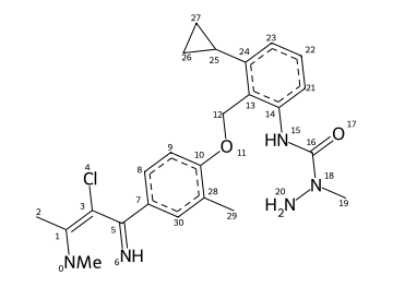 CN/C(C)=C(/Cl)C(=N)c1ccc(OCc2c(NC(=O)N(C)N)cccc2C2CC2)c(C)c1